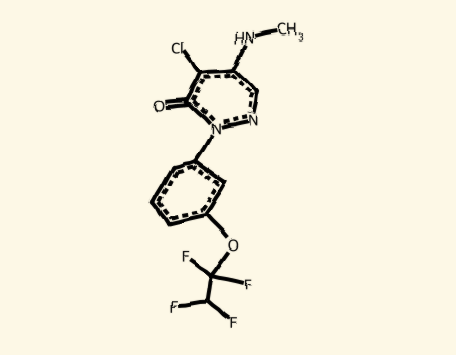 CNc1cnn(-c2cccc(OC(F)(F)C(F)F)c2)c(=O)c1Cl